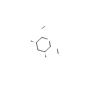 [CH2]CO[C@@H]1O[C@H](CO)[C@@H](O)[C@H](O)[C@H]1O